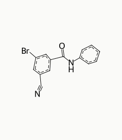 N#Cc1cc(Br)cc(C(=O)Nc2ccccc2)c1